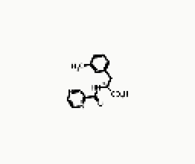 Cc1cccc(C[C@H](NC(=O)c2cnccn2)C(=O)O)c1